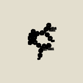 C=Cc1ccc(-c2ccc(N(c3ccc(-c4ccc5c(c4)-c4cc6c(cc4C5(c4ccccc4)c4ccccc4)C(c4ccccc4)(c4ccccc4)c4ccc(-c5ccc(N(c7ccc(-c8ccc(C=C)cc8)cc7)c7ccc8c(c7)C(CCCCCCCC)(CCCCCCCC)c7ccccc7-8)cc5)cc4-6)cc3)c3ccc4c(c3)C(CCCCCCCC)(CCCCCCCC)c3ccccc3-4)cc2)cc1